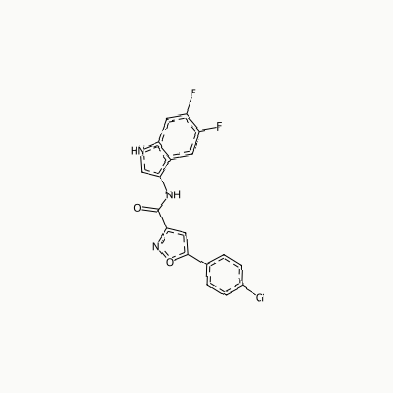 O=C(Nc1c[nH]c2cc(F)c(F)cc12)c1cc(-c2ccc(Cl)cc2)on1